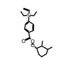 C=C[Si](CC)(CC)c1ccc(C(=O)OO[C]2CCCC(C)C2C)cc1